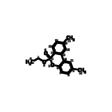 CCOP1(=O)Oc2ccc(C)cc2-c2cc(C)ccc21